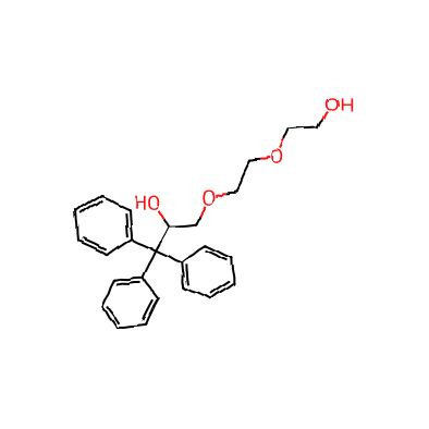 OCCOCCOCC(O)C(c1ccccc1)(c1ccccc1)c1ccccc1